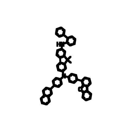 CC1(C)c2cc(Nc3ccccc3-c3ccccc3)ccc2-c2ccc(N(c3ccc(-c4ccc5ccccc5c4)cc3)c3ccc(-c4cccc5c4oc4ccccc45)cc3)cc21